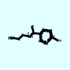 CC(NCCS)c1ccc(F)nc1